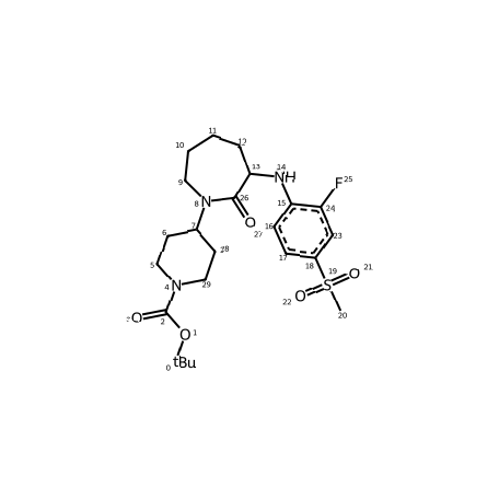 CC(C)(C)OC(=O)N1CCC(N2CCCCC(Nc3ccc(S(C)(=O)=O)cc3F)C2=O)CC1